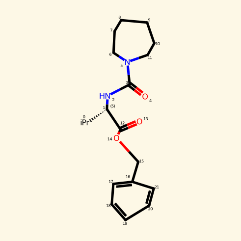 CC(C)[C@H](NC(=O)N1CCCCCC1)C(=O)OCc1ccccc1